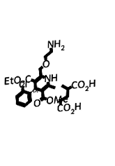 CC(CCC(=O)O)C(=O)O.CCOC(=O)C1=C(COCCN)NC(C)=C(C(=O)OC)[C@@H]1c1ccccc1Cl